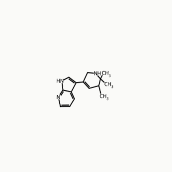 CC1C=C(c2c[nH]c3ncccc23)CNC1(C)C